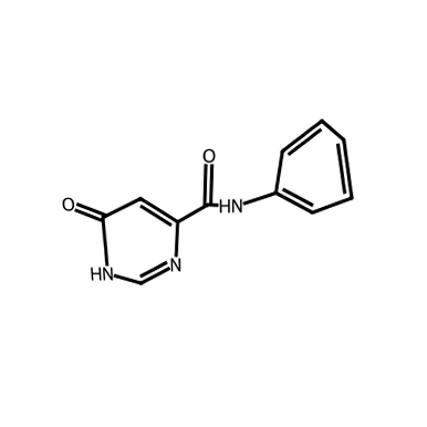 O=C(Nc1ccccc1)c1cc(=O)[nH]cn1